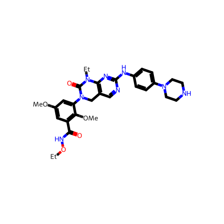 CCONC(=O)c1cc(OC)cc(N2Cc3cnc(Nc4ccc(N5CCNCC5)cc4)nc3N(CC)C2=O)c1OC